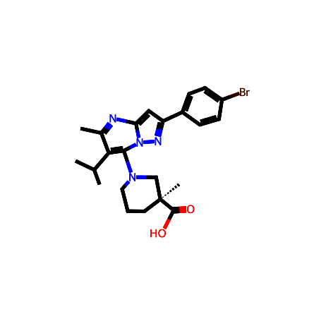 Cc1nc2cc(-c3ccc(Br)cc3)nn2c(N2CCC[C@](C)(C(=O)O)C2)c1C(C)C